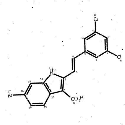 O=C(O)c1c(C=Cc2cc(Cl)cc(Cl)c2)[nH]c2cc(Br)ccc12